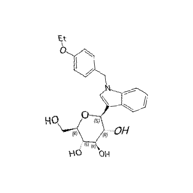 CCOc1ccc(Cn2cc([C@@H]3O[C@H](CO)[C@@H](O)[C@H](O)[C@H]3O)c3ccccc32)cc1